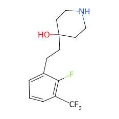 OC1(CCc2cccc(C(F)(F)F)c2F)CCNCC1